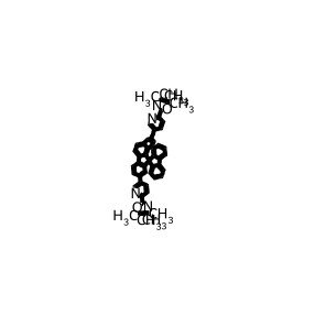 CC1(C)N=C(c2ccc(-c3ccc4c(c3)C3(c5ccccc5-c5ccccc53)c3c-4ccc4cc(-c5ccc(C6=NC(C)(C)C(C)(C)O6)nc5)ccc34)cn2)OC1(C)C